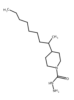 CCCCCCCC(C)C1CCN(C(=O)NN)CC1